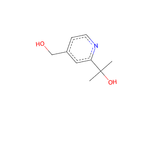 CC(C)(O)c1cc(CO)ccn1